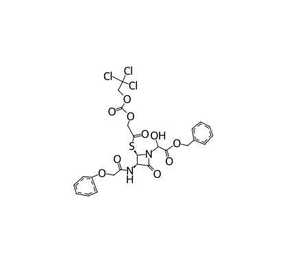 O=C(COc1ccccc1)N[C@@H]1C(=O)N(C(O)C(=O)OCc2ccccc2)[C@@H]1SC(=O)COC(=O)OCC(Cl)(Cl)Cl